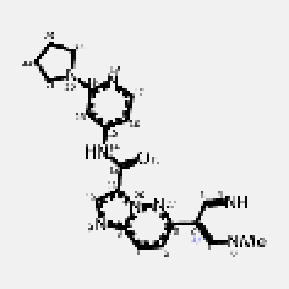 CN/C=C(\C=N)c1ccc2ncc(C(=O)Nc3ccnc(N4CCCC4)c3)n2n1